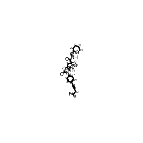 C[C@@](CC1CN(c2ccc(C#CCC(F)F)cc2)C(=O)O1)(C(=O)NOC1CCCCO1)S(C)(=O)=O